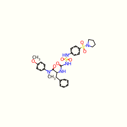 COc1ccc(N(C)C(=O)C(Cc2ccccc2)NC(=O)NS(=O)(=O)Nc2ccc(S(=O)(=O)N3CCCC3)cc2)cc1